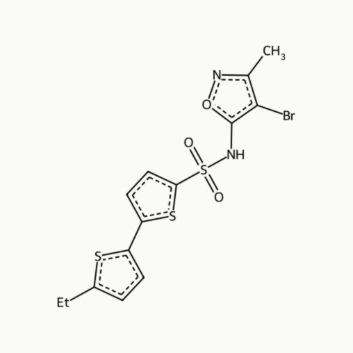 CCc1ccc(-c2ccc(S(=O)(=O)Nc3onc(C)c3Br)s2)s1